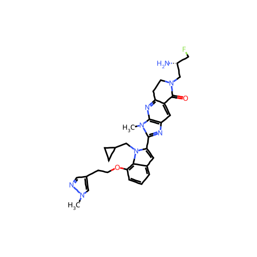 Cn1cc(CCOc2cccc3cc(-c4nc5cc6c(nc5n4C)CCN(C[C@H](N)CF)C6=O)n(CC4CC4)c23)cn1